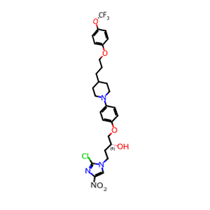 O=[N+]([O-])c1cn(CC[C@@H](O)COc2ccc(N3CCC(CCCOc4ccc(OC(F)(F)F)cc4)CC3)cc2)c(Cl)n1